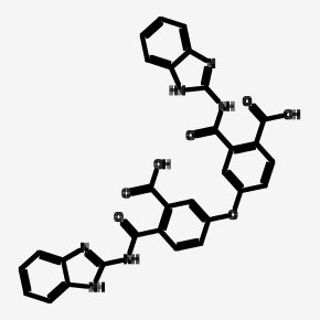 O=C(O)c1cc(Oc2ccc(C(=O)O)c(C(=O)Nc3nc4ccccc4[nH]3)c2)ccc1C(=O)Nc1nc2ccccc2[nH]1